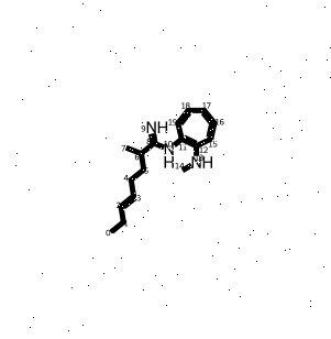 CC/C=C/CCC(C)C(=N)NC1=C(NC)C=C=CC=C1